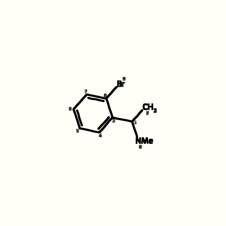 CNC(C)c1ccccc1Br